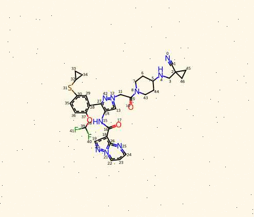 N#CC1(CNC2CCN(C(=O)Cn3cc(NC(=O)c4cnn5cccnc45)c(-c4cc(SC5CC5)ccc4OC(F)F)n3)CC2)CC1